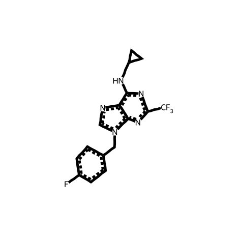 Fc1ccc(Cn2cnc3c(NC4CC4)nc(C(F)(F)F)nc32)cc1